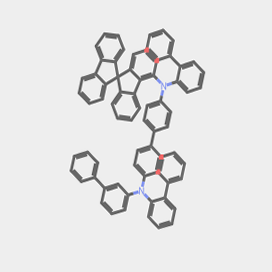 c1ccc(-c2cccc(N(c3ccc(-c4ccc(N(c5ccccc5-c5ccccc5)c5cccc6c5-c5ccccc5C65c6ccccc6-c6ccccc65)cc4)cc3)c3ccccc3-c3ccccc3)c2)cc1